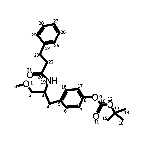 COCC(Cc1ccc(OC(=O)OC(C)(C)C)cc1)NC(=O)CCc1ccccc1